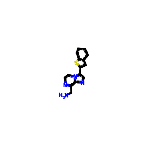 NCc1nccn2c(-c3cc4ccccc4s3)cnc12